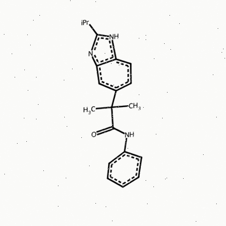 CC(C)c1nc2cc(C(C)(C)C(=O)Nc3ccccc3)ccc2[nH]1